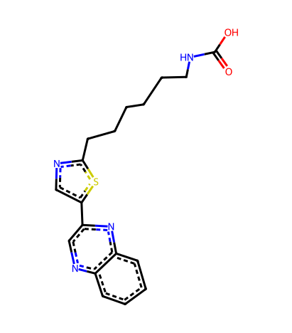 O=C(O)NCCCCCCc1ncc(-c2cnc3ccccc3n2)s1